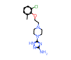 Cc1cccc(Cl)c1OCCN1CCN(c2nc(N)n[nH]2)CC1